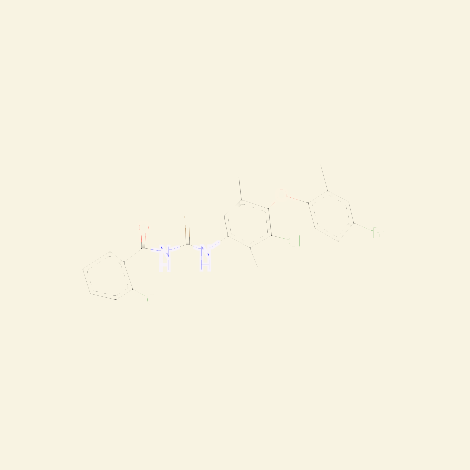 Cc1cc(Br)ccc1Oc1c(C)cc(NC(=S)NC(=O)c2ccccc2Cl)c(C)c1Cl